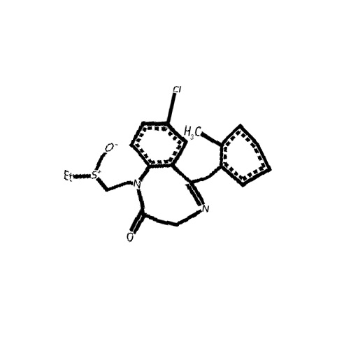 CC[S+]([O-])CN1C(=O)CN=C(c2ccccc2C)c2cc(Cl)ccc21